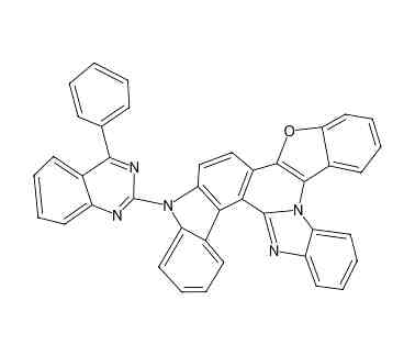 c1ccc(-c2nc(-n3c4ccccc4c4c5c(ccc43)c3oc4ccccc4c3n3c4ccccc4nc53)nc3ccccc23)cc1